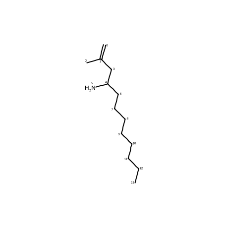 C=C(C)CC(N)CCCCCCCC